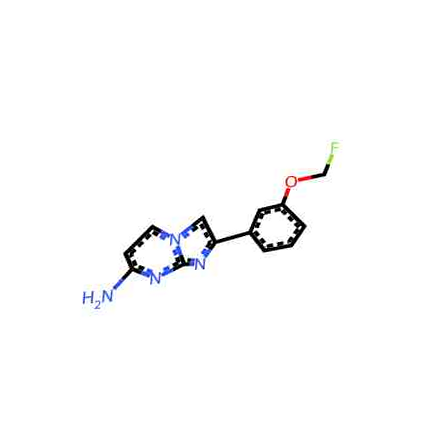 Nc1ccn2cc(-c3cccc(OCF)c3)nc2n1